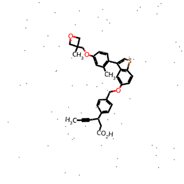 CC#CC(CC(=O)O)c1ccc(COc2ccc3scc(-c4ccc(OCC5(C)COC5)cc4C)c3c2)cc1